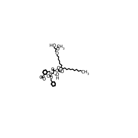 CCCCCCCCCCC1OCCOC1CCCCCCOCC(CO)OC.O=C(O)[C@H](CO)N(Cc1cccc(P(=O)=O)c1)C(=O)OCc1ccccc1